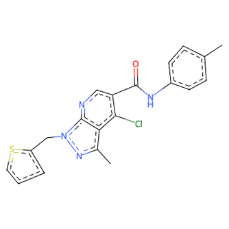 Cc1ccc(NC(=O)c2cnc3c(c(C)nn3Cc3cccs3)c2Cl)cc1